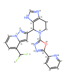 FC(F)c1cccn2nc(C3c4[nH]cnc4CCN3c3nnc(-c4ccccn4)o3)cc12